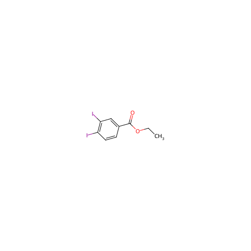 CCOC(=O)c1ccc(I)c(I)c1